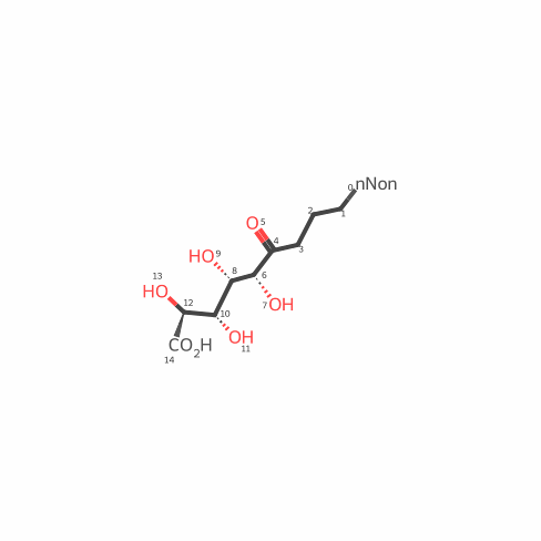 CCCCCCCCCCCCC(=O)[C@H](O)[C@@H](O)[C@H](O)[C@H](O)C(=O)O